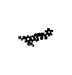 Cc1ccc(CN2CCC(NC(=O)NC(=O)c3ccccc3)CC2)c(C)c1